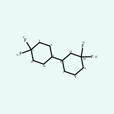 FC1(F)CC[C](C2CCCC(F)(F)C2)CC1